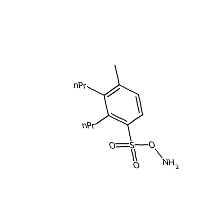 CCCc1c(C)ccc(S(=O)(=O)ON)c1CCC